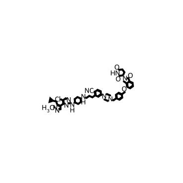 Cn1ncc(-c2nc(NC3CCC(NCCCc4cc(N5CCN(Cc6ccc(COc7cccc8c7CN(C7CCC(=O)NC7=O)C8=O)cc6)CC5)ccc4C#N)CC3)ncc2Cl)c1CC1CC1